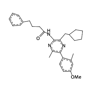 COc1ccc(-c2nc(CC3CCCC3)c(NC(=O)CCCc3ccccc3)nc2C)c(C)c1